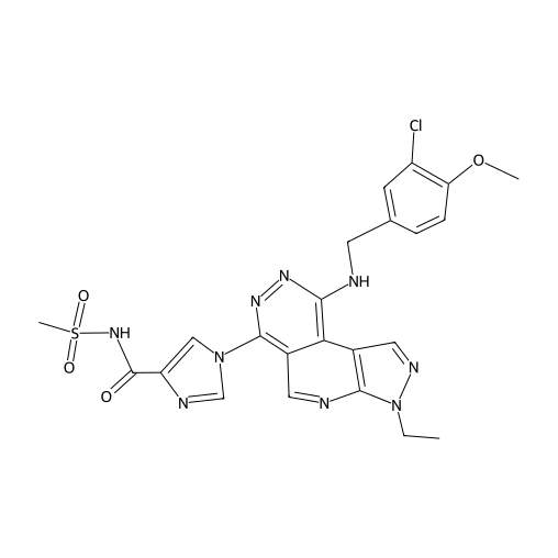 CCn1ncc2c3c(NCc4ccc(OC)c(Cl)c4)nnc(-n4cnc(C(=O)NS(C)(=O)=O)c4)c3cnc21